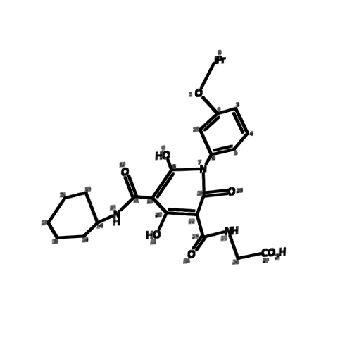 CC(C)Oc1cccc(-n2c(O)c(C(=O)NC3CCCCC3)c(O)c(C(=O)NCC(=O)O)c2=O)c1